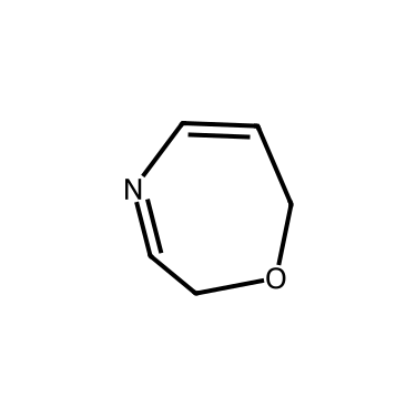 C1=CN=CCOC1